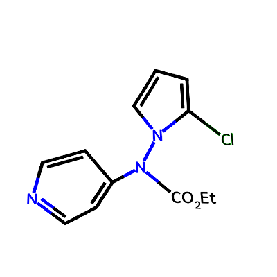 CCOC(=O)N(c1ccncc1)n1cccc1Cl